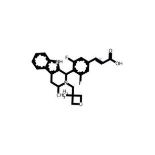 CC1Cc2c([nH]c3ccccc23)C(c2c(F)cc(/C=C/C(=O)O)cc2F)N1CC1(C)COC1